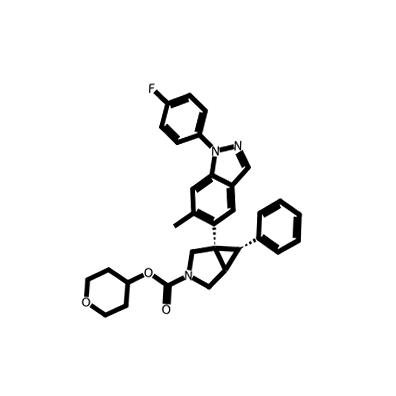 Cc1cc2c(cnn2-c2ccc(F)cc2)cc1[C@@]12CN(C(=O)OC3CCOCC3)CC1[C@H]2c1ccccc1